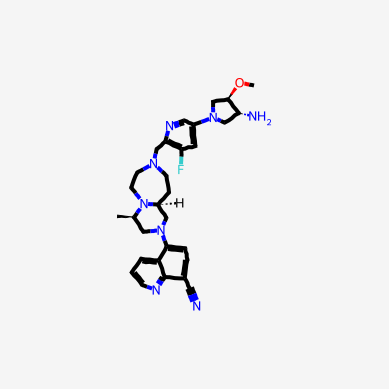 CO[C@@H]1CN(c2cnc(CN3CC[C@H]4CN(c5ccc(C#N)c6ncccc56)C[C@@H](C)N4CC3)c(F)c2)C[C@H]1N